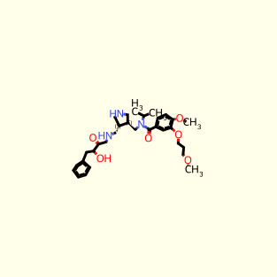 COCCCOc1cc(C(=O)N(C[C@@H]2CNC[C@H]2CNCC(=O)C(O)Cc2ccccc2)C(C)C)ccc1OC